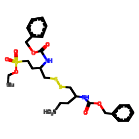 CC(C)(C)COS(=O)(=O)CCC(CSSCC(CCS(=O)(=O)O)NC(=O)OCc1ccccc1)NC(=O)OCc1ccccc1